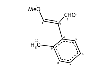 COC=C([C]=O)c1ccccc1C